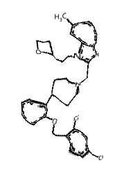 Cc1ccc2nc(CN3CCC(c4ccccc4OCc4ccc(Cl)cc4Cl)CC3)n(C[C@@H]3CCO3)c2c1